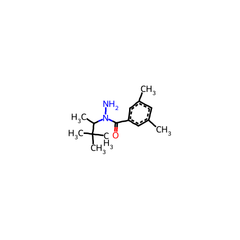 Cc1cc(C)cc(C(=O)N(N)C(C)C(C)(C)C)c1